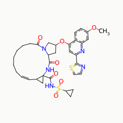 COc1ccc2c(OC3CC4C(=O)NC5(C(=O)NS(=O)(=O)C6CC6)CC5C=CCCCCCCC(=O)N4C3)cc(-c3nccs3)nc2c1